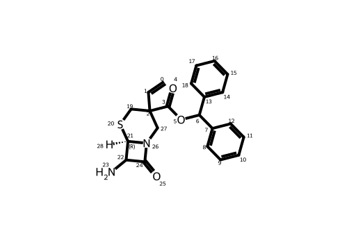 C=CC1(C(=O)OC(c2ccccc2)c2ccccc2)CS[C@@H]2C(N)C(=O)N2C1